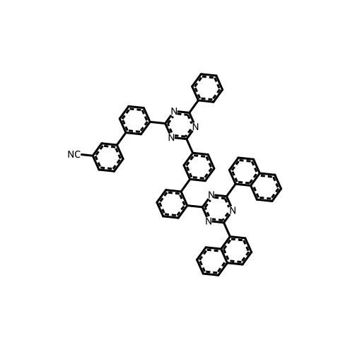 N#Cc1cccc(-c2cccc(-c3nc(-c4ccccc4)nc(-c4cccc(-c5ccccc5-c5nc(-c6cccc7ccccc67)nc(-c6cccc7ccccc67)n5)c4)n3)c2)c1